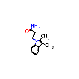 Cc1c(C)n(CCC(N)=O)c2ccccc12